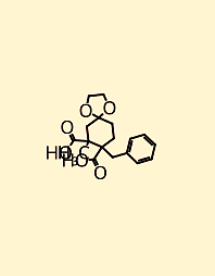 CC1(C(=O)O)CC2(CCC1(Cc1ccccc1)C(=O)O)OCCO2